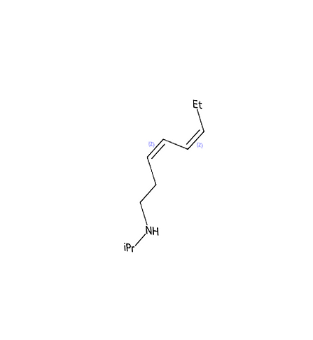 CC/C=C\C=C/CCNC(C)C